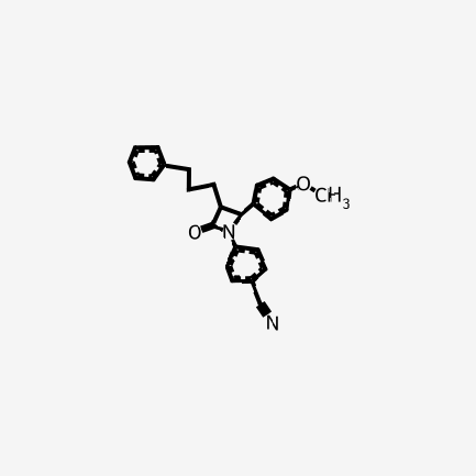 COc1ccc(C2C(CCCc3ccccc3)C(=O)N2c2ccc(C#N)cc2)cc1